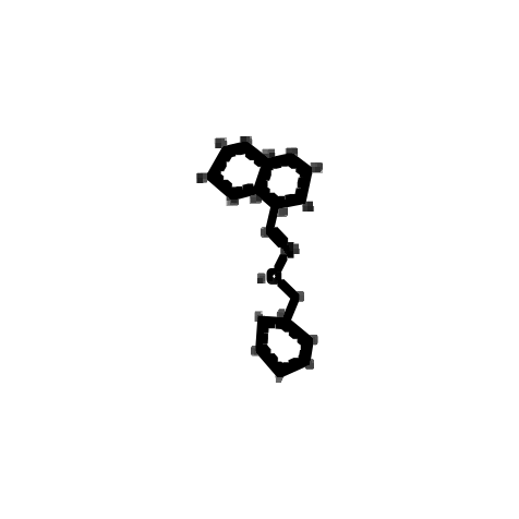 C(=NOCc1ccccc1)c1cccc2ccccc12